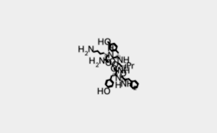 CC(C)[C@H](NC(=O)[C@H](Cc1ccc(O)cc1)NC(=O)[C@@H](N)Cc1ccccc1)C(=O)N[C@@H](Cc1ccc(O)cc1)C(=O)N[C@@H](CCCCN)C(N)=O